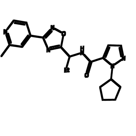 CCC(NC(=O)c1ccnn1C1CCCC1)c1nc(-c2ccnc(C)c2)no1